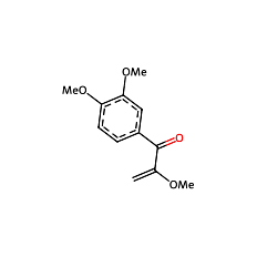 C=C(OC)C(=O)c1ccc(OC)c(OC)c1